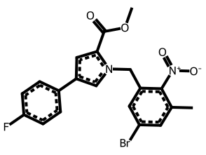 COC(=O)c1cc(-c2ccc(F)cc2)cn1Cc1cc(Br)cc(C)c1[N+](=O)[O-]